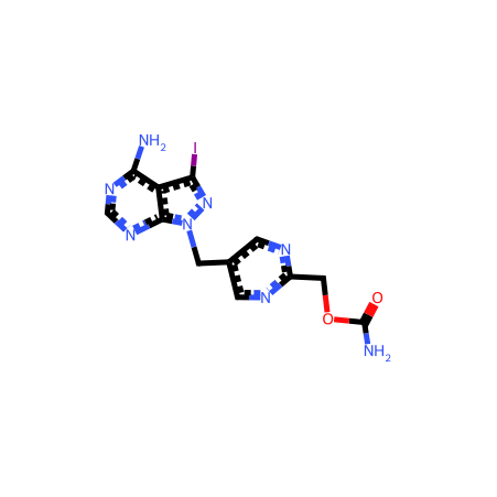 NC(=O)OCc1ncc(Cn2nc(I)c3c(N)ncnc32)cn1